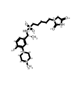 C[C@@H](NS(=O)(=O)CCCCCN1CC(=O)NC1=O)c1ccc(F)c(N2CCN(C)CC2)c1